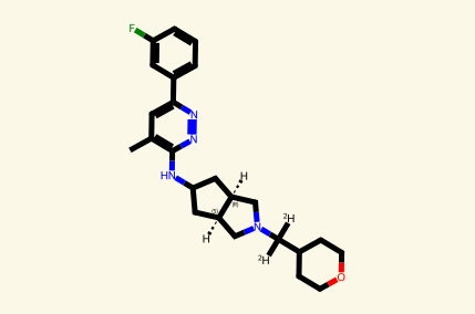 [2H]C([2H])(C1CCOCC1)N1C[C@H]2CC(Nc3nnc(-c4cccc(F)c4)cc3C)C[C@H]2C1